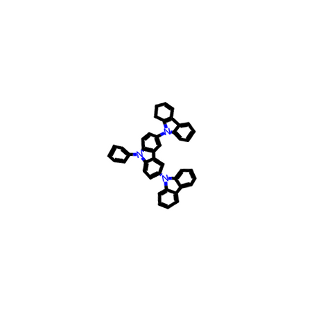 C1=Cc2c(n(-c3ccc4c(c3)c3cc(-n5c6ccccc6c6ccccc65)ccc3n4-c3ccccc3)c3ccccc23)CC1